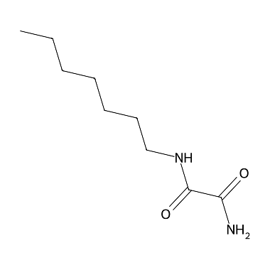 CCCCCCCNC(=O)C(N)=O